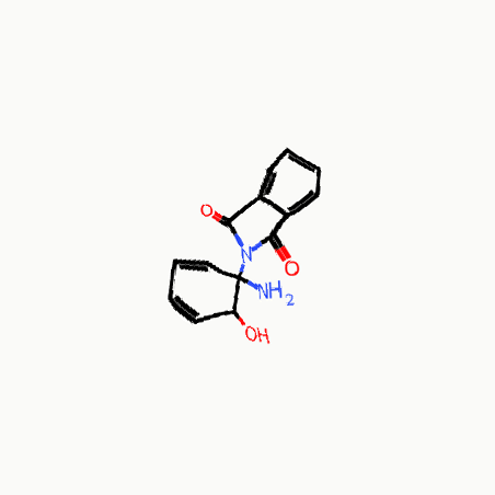 NC1(N2C(=O)c3ccccc3C2=O)C=CC=CC1O